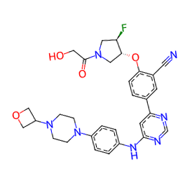 N#Cc1cc(-c2cc(Nc3ccc(N4CCN(C5COC5)CC4)cc3)ncn2)ccc1O[C@@H]1CN(C(=O)CO)C[C@H]1F